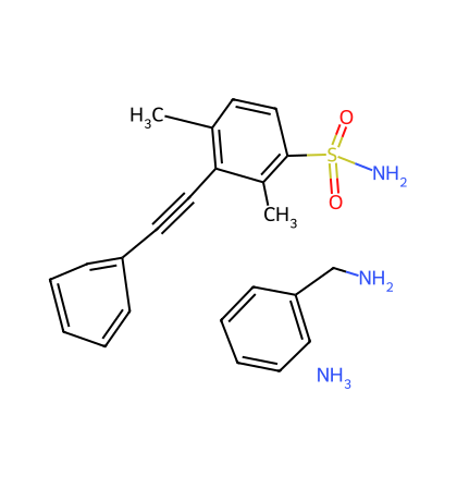 Cc1ccc(S(N)(=O)=O)c(C)c1C#Cc1ccccc1.N.NCc1ccccc1